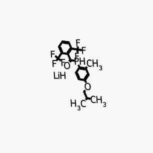 Cc1cc(OCC(C)C)ccc1PC(=O)c1c(C(F)(F)F)cccc1C(F)(F)F.[LiH]